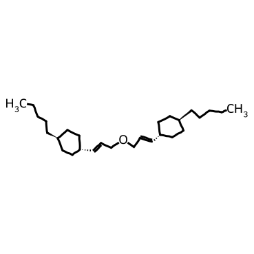 CCCCC[C@H]1CC[C@H](/C=C/COC/C=C/[C@H]2CC[C@H](CCCCC)CC2)CC1